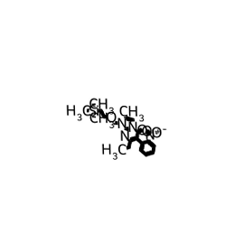 CCc1nc2n(COCC[Si](C)(C)C)c(C)cn2c(=O)c1-c1ccccc1[N+](=O)[O-]